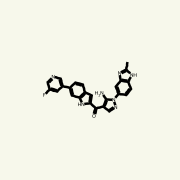 Cc1nc2cc(-n3ncc(C(=O)c4cc5ccc(-c6cncc(F)c6)cc5[nH]4)c3N)ccc2[nH]1